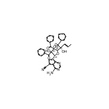 CC=C[C@](O)(C(=O)c1ccccc1)[C@H]1O[C@@H](n2cc(C#N)c3c(N)ncnc32)[C@@](O)(C(=O)c2ccccc2)[C@@]1(O)C(=O)c1ccccc1